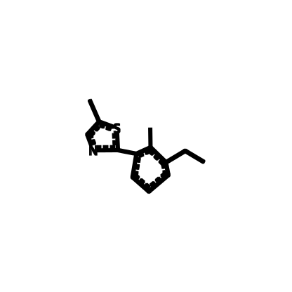 CCc1cccc(-c2ncc(C)s2)c1C